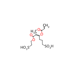 C=CC(=O)OC(CCCS(=O)(=O)O)=C(C)C(=O)OCCS(=O)(=O)O